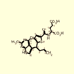 C=CCC(c1ccc(C(=O)N[C@@H](CCC(=O)O)C(=O)O)s1)c1c[nH]c2nc(C)nc(O)c12